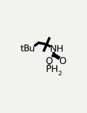 CC(C)(C)CC(C)(C)NC(=O)OP